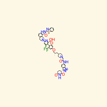 C[C@H](COc1ccc(-c2ccc(N3CCc4cccc(C(=O)Nc5nc6ccccc6s5)c4C3)nc2C(=O)O)c(C(F)(F)F)c1)CC1CCN(CC(=O)Nc2ccc3c([C@H]4CCC(=O)NC4=O)nn(C)c3c2)CC1